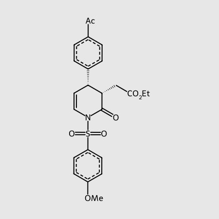 CCOC(=O)C[C@@H]1C(=O)N(S(=O)(=O)c2ccc(OC)cc2)C=C[C@@H]1c1ccc(C(C)=O)cc1